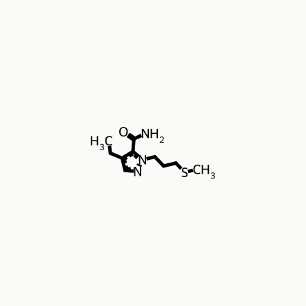 CCc1cnn(CCCSC)c1C(N)=O